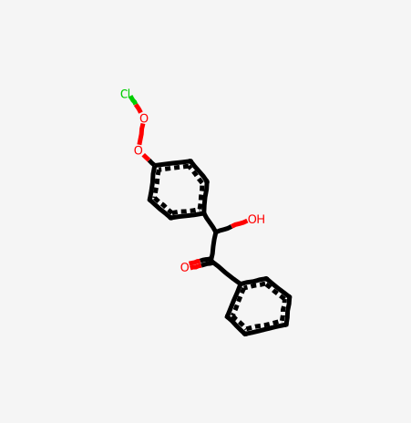 O=C(c1ccccc1)C(O)c1ccc(OOCl)cc1